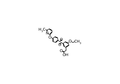 CCOc1cc(CC(=O)O)cc(S(=O)(=O)c2ccc(Oc3cccc(C)n3)cc2)c1